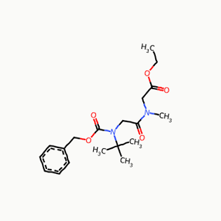 CCOC(=O)CN(C)C(=O)CN(C(=O)OCc1ccccc1)C(C)(C)C